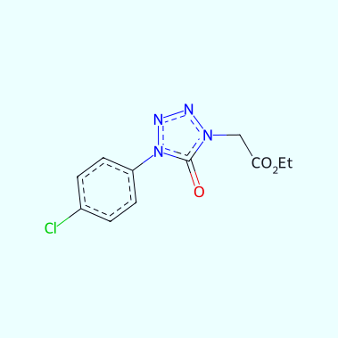 CCOC(=O)Cn1nnn(-c2ccc(Cl)cc2)c1=O